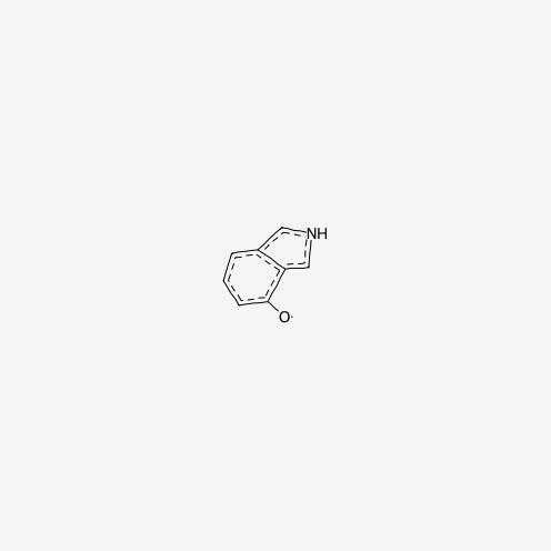 [O]c1cccc2c[nH]cc12